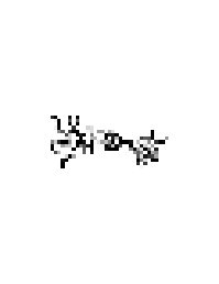 CCCn1c(=O)c2[nH]c(C34CCC(CCP(=O)(O)OC(C)CC)(CC3)CC4)nc2n(CCC)c1=O